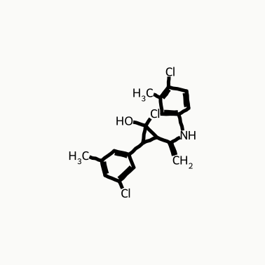 C=C(Nc1ccc(Cl)c(C)c1)C1C(c2cc(C)cc(Cl)c2)C1(O)Cl